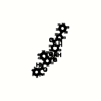 Cc1ccccc1C(=O)Nc1ccc(S(=O)(=O)NC2CCN(C(=O)C3CC(c4ccccc4)CN3)CC2)c2ccccc12